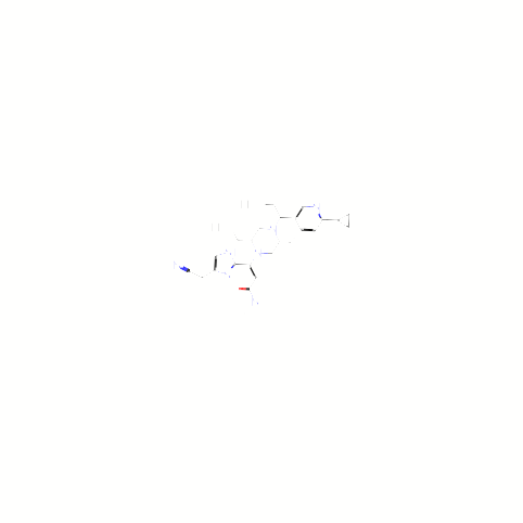 CCC(c1ccc(C2CC2)nc1)N1C[C@H](CC)N(/C(=C/C(=O)NC)c2nc(CC#N)c[nH]2)C[C@H]1C